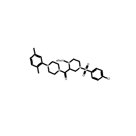 CCCCCN1CCN(S(=O)(=O)c2ccc(Cl)cc2)CC1C(=O)N1CCN(c2cc(C)ccc2C)CC1